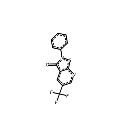 O=c1c2cc(C(F)(F)F)cnc2sn1-c1ccccc1